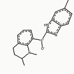 Cc1ccc2nc([S+]([O-])c3cccc4c3N(C)C(C)CC4)[nH]c2c1